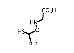 CCCC(S)ONCC(=O)O